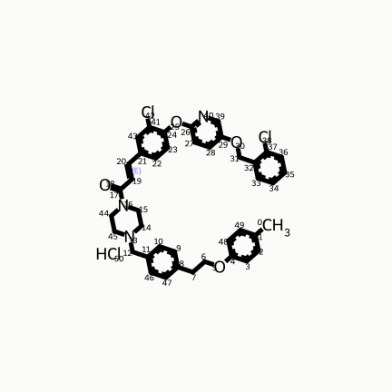 Cc1ccc(OCCc2ccc(CN3CCN(C(=O)/C=C/c4ccc(Oc5ccc(OCc6ccccc6Cl)cn5)c(Cl)c4)CC3)cc2)cc1.Cl